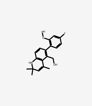 CCCOc1cc(F)ccc1-c1ccc2c(c1CO)C(C)=CC(C)(C)N2